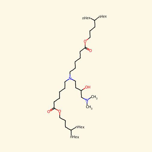 CCCCCCC(CCCCCC)CCCOC(=O)CCCCCN(CCCCCC(=O)OCCCC(CCCCCC)CCCCCC)CCC(O)CN(C)C